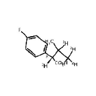 [2H]C([2H])([2H])C([2H])(C)[C@]([2H])(C(=O)O)c1ccc(F)cc1